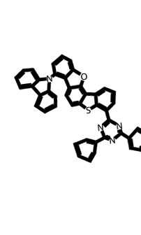 c1ccc(-c2nc(-c3ccccc3)nc(-c3cccc4c3sc3ccc5c(oc6cccc(-n7c8ccccc8c8ccccc87)c65)c34)n2)cc1